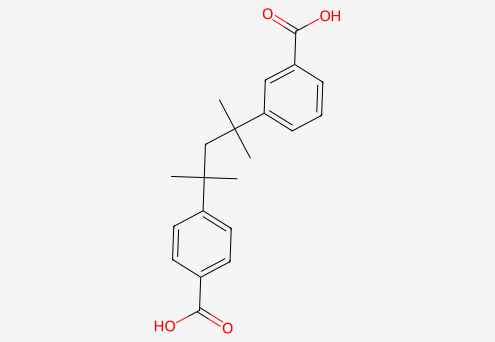 CC(C)(CC(C)(C)c1cccc(C(=O)O)c1)c1ccc(C(=O)O)cc1